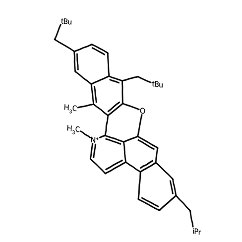 Cc1c2c(c(CC(C)(C)C)c3ccc(CC(C)(C)C)cc13)Oc1cc3cc(CC(C)C)ccc3c3cc[n+](C)c-2c13